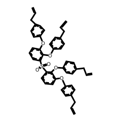 C=CCc1ccc(Oc2cccc(S(=O)(=O)c3cccc(Oc4ccc(CC=C)cc4)c3Oc3ccc(CC=C)cc3)c2Oc2ccc(CC=C)cc2)cc1